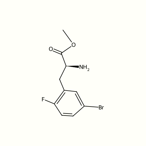 COC(=O)[C@@H](N)Cc1cc(Br)ccc1F